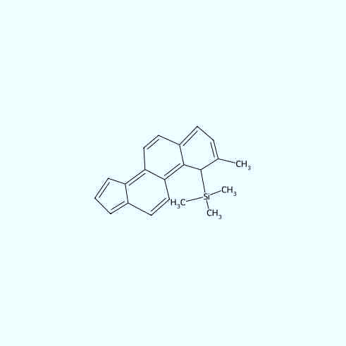 CC1=CC=c2ccc3c4c(ccc3c2C1[Si](C)(C)C)=CC=C4